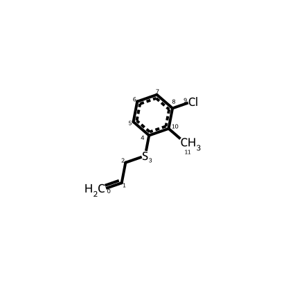 C=CCSc1cccc(Cl)c1C